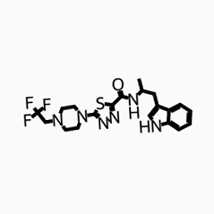 CC(Cc1c[nH]c2ccccc12)NC(=O)c1nnc(N2CCN(CC(F)(F)F)CC2)s1